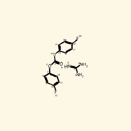 N=C(N)N.O=C(Oc1ccc(F)cc1)Oc1ccc(F)cc1